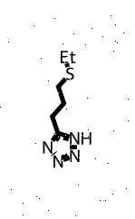 CCSCCCc1nnn[nH]1